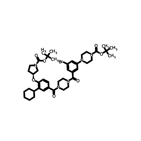 CC(C)(C)OC(=O)N1CCN(c2cc(Br)cc(C(=O)N3CCN(C(=O)c4ccc(O[C@H]5CCN(C(=O)OC(C)(C)C)C5)c(C5CCCCC5)c4)CC3)c2)CC1